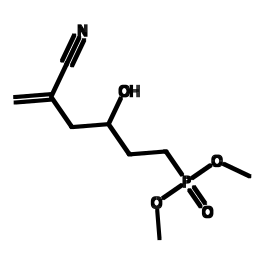 C=C(C#N)CC(O)CCP(=O)(OC)OC